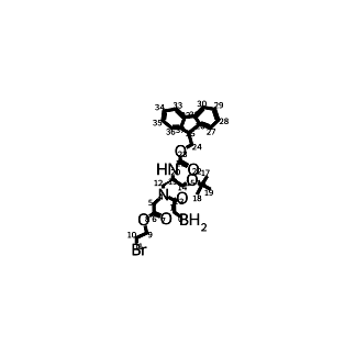 BCC(=O)N(CC(=O)OCCBr)C[C@H](COC(C)(C)C)NC(=O)OCC1c2ccccc2-c2ccccc21